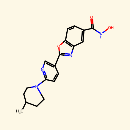 CC1CCN(c2ccc(-c3nc4cc(C(=O)NO)ccc4o3)cn2)CC1